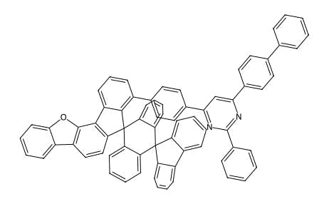 c1ccc(-c2ccc(-c3cc(-c4ccc(-c5cccc6c5C5(c7ccccc7C7(c8ccccc8-c8ccccc87)c7ccccc75)c5ccc7c(oc8ccccc87)c5-6)cc4)nc(-c4ccccc4)n3)cc2)cc1